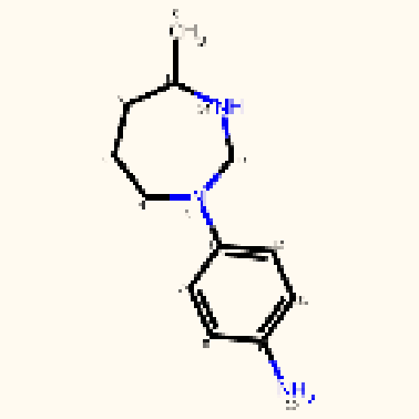 CC1CCCN(c2ccc(N)cc2)CN1